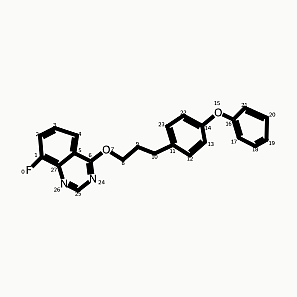 Fc1cccc2c(OCCCc3ccc(Oc4ccccc4)cc3)ncnc12